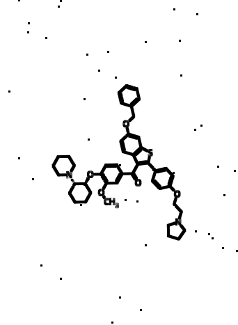 COc1cc(C(=O)c2c(-c3ccc(OCCN4CCCC4)cc3)sc3cc(OCc4ccccc4)ccc23)ccc1O[C@H]1CCCC[C@@H]1N1CCCCC1